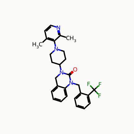 Cc1ccnc(C)c1N1CCC(N2Cc3ccccc3N(Cc3ccccc3C(F)(F)F)C2=O)CC1